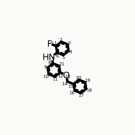 Fc1ccccc1Nc1cccc(OCc2ccccc2)c1